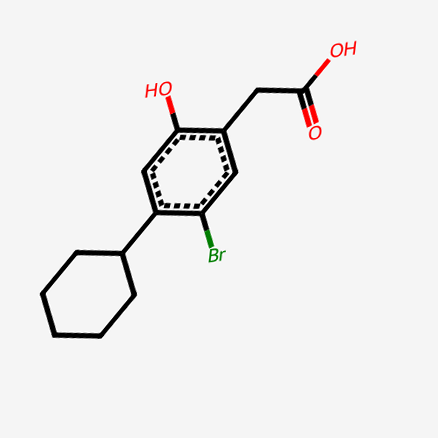 O=C(O)Cc1cc(Br)c(C2CCCCC2)cc1O